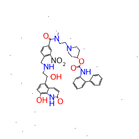 CN(CCN1CCC(OC(=O)Nc2ccccc2-c2ccccc2)CC1)C(=O)c1ccc(CNC[C@H](O)c2ccc(O)c3[nH]c(=O)ccc23)c([N+](=O)[O-])c1